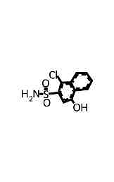 NS(=O)(=O)c1cc(O)c2ccccc2c1Cl